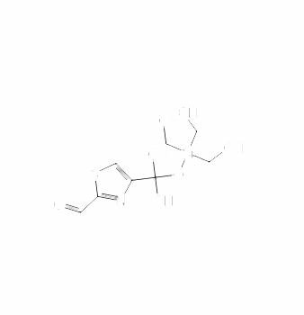 CC[Si](CC)(CC)OC(C)(C)c1csc(C=O)n1